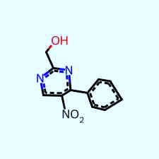 O=[N+]([O-])c1cnc(CO)nc1-c1ccccc1